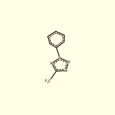 FC(F)(F)c1nnn(-c2ccccc2)n1